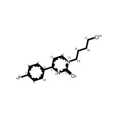 O=c1nc(-c2ccc(F)cc2)ccn1CCCCCl